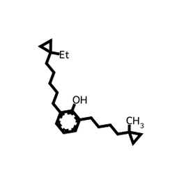 CCC1(CCCCCc2cccc(CCCCC3(C)CC3)c2O)CC1